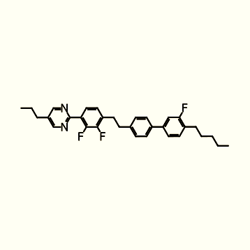 CCCCCc1ccc(-c2ccc(CCc3ccc(-c4ncc(CCC)cn4)c(F)c3F)cc2)cc1F